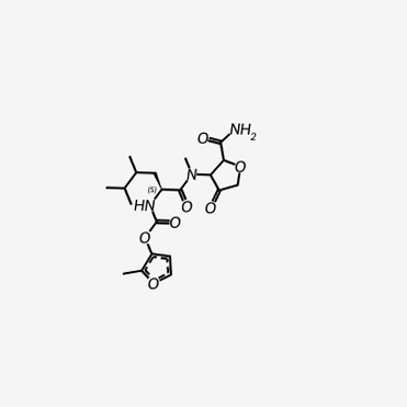 Cc1occc1OC(=O)N[C@@H](CC(C)C(C)C)C(=O)N(C)C1C(=O)COC1C(N)=O